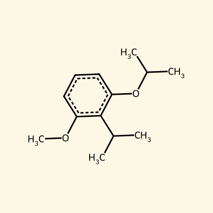 COc1cccc(OC(C)C)c1C(C)C